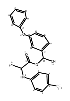 CC(C)C(Nc1ccc(C(F)(F)F)cc1)C(=O)OC(C#N)c1cccc(Oc2ccccc2)c1